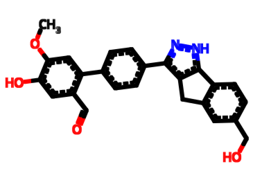 COc1cc(-c2ccc(-c3n[nH]c4c3Cc3cc(CO)ccc3-4)cc2)c(C=O)cc1O